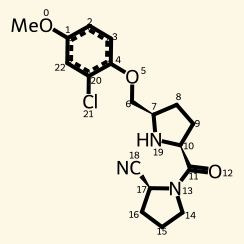 COc1ccc(OC[C@H]2CC[C@@H](C(=O)N3CCC[C@H]3C#N)N2)c(Cl)c1